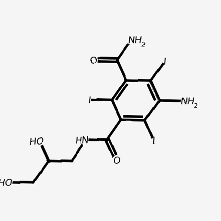 NC(=O)c1c(I)c(N)c(I)c(C(=O)NCC(O)CO)c1I